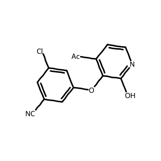 CC(=O)c1ccnc(O)c1Oc1cc(Cl)cc(C#N)c1